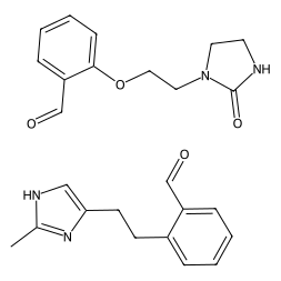 Cc1nc(CCc2ccccc2C=O)c[nH]1.O=Cc1ccccc1OCCN1CCNC1=O